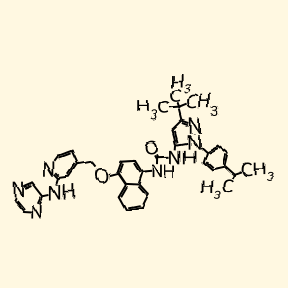 CC(C)c1ccc(-n2nc(C(C)(C)C)cc2NC(=O)Nc2ccc(OCc3ccnc(Nc4cnccn4)c3)c3ccccc23)cc1